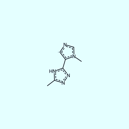 Cc1nnc(-c2[c]ncn2C)[nH]1